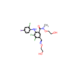 CN(OCCO)C(=O)c1cc(C=NOCCO)c(F)c(F)c1Nc1ccc(I)cc1F